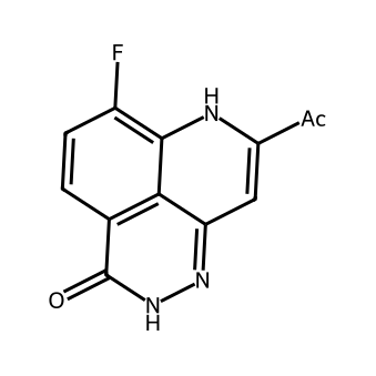 CC(=O)C1=Cc2n[nH]c(=O)c3ccc(F)c(c23)N1